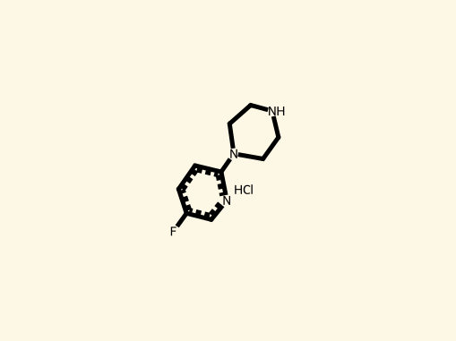 Cl.Fc1ccc(N2CCNCC2)nc1